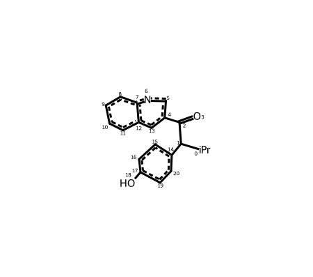 CC(C)C(C(=O)c1cnc2ccccc2c1)c1ccc(O)cc1